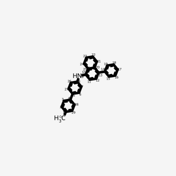 Cc1ccc(-c2ccc(Nc3ccc(-c4ccccc4)c4ccccc34)cc2)cc1